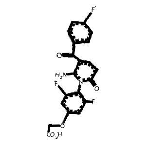 Nc1c(C(=O)c2ccc(F)cc2)ccc(=O)n1-c1c(F)cc(OCC(=O)O)cc1F